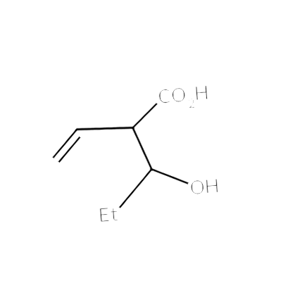 C=CC(C(=O)O)C(O)CC